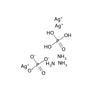 N.N.N.O=P(O)(O)O.O=P([O-])([O-])[O-].[Ag+].[Ag+].[Ag+]